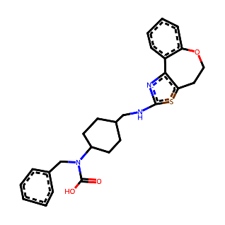 O=C(O)N(Cc1ccccc1)C1CCC(CNc2nc3c(s2)CCOc2ccccc2-3)CC1